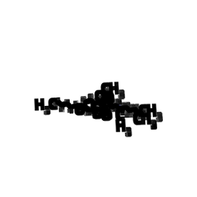 CCC=CCCOc1ccc2c(OC(C)=O)c(OC/C=C(\C)CCC=C(C)C)c(=O)oc2c1